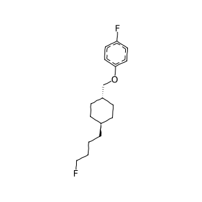 FCCCC[C@H]1CC[C@H](COc2ccc(F)cc2)CC1